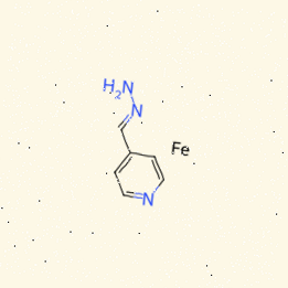 NN=Cc1ccncc1.[Fe]